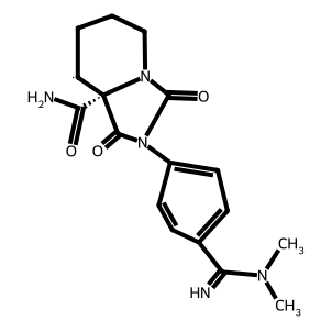 CN(C)C(=N)c1ccc(N2C(=O)N3CCC[CH][C@]3(C(N)=O)C2=O)cc1